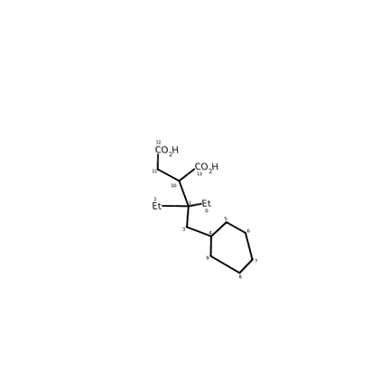 CCC(CC)(CC1CCCCC1)C(CC(=O)O)C(=O)O